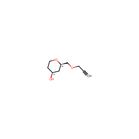 C#CCOC[C@H]1C[C@@H](O)CCO1